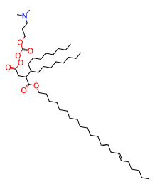 CCCCCC=CCC=CCCCCCCCCCCCCOC(=O)C(CC(=O)OOC(=O)OCCCN(C)C)C(CCCCCCCC)CCCCCCCC